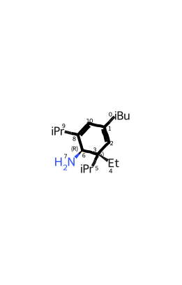 CCC(C)C1=C[C@](CC)(C(C)C)[C@@H](N)C(C(C)C)=C1